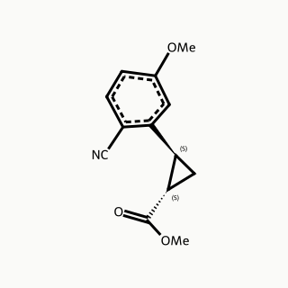 COC(=O)[C@H]1C[C@@H]1c1cc(OC)ccc1C#N